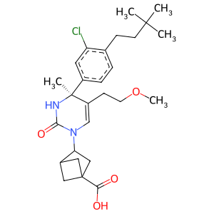 COCCC1=CN(C2CC3(C(=O)O)CC2C3)C(=O)N[C@@]1(C)c1ccc(CCC(C)(C)C)c(Cl)c1